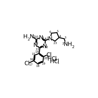 Cl.Cl.NCC1CCN(c2nc(N)nc(-c3cc(Cl)ccc3Cl)n2)C1